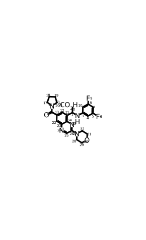 CC(Nc1cc(F)cc(F)c1)c1cc(C(=O)N2CCC[C@@H]2C(=O)O)cc2ncc(N3CCOCC3)nc12